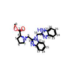 COC(=O)C1CCCN1Cc1nc2ccccc2n1Cc1nc2ccccc2[nH]1